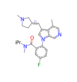 Cc1cncc2c1c(/C=C1\CCN(C)C1)cn2-c1ccc(F)cc1C(=O)N(C)C(C)C